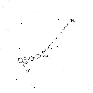 CCCCCCCCCCCCCCCCCCCCOC(C)c1ccc(-c2ccc(C(=O)Oc3ccccc3OCCCC)cc2)cc1